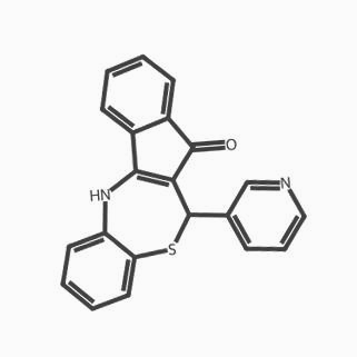 O=C1C2=C(Nc3ccccc3SC2c2cccnc2)c2ccccc21